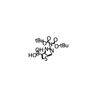 CC(C)(C)OC(=O)N(C(=O)OC(C)(C)C)c1ncc2scc(B(O)O)c2n1